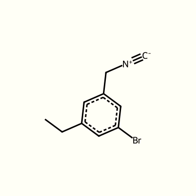 [C-]#[N+]Cc1cc(Br)cc(CC)c1